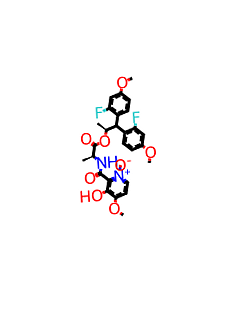 COc1ccc(C(c2ccc(OC)cc2F)[C@H](C)OC(=O)[C@H](C)NC(=O)c2c(O)c(OC)cc[n+]2[O-])c(F)c1